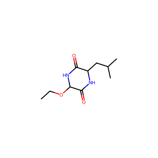 CCOC1NC(=O)C(CC(C)C)NC1=O